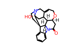 O=C1C[C@@H]2OCC=C3CN4CC[C@]56c7ccccc7N1[C@H]5[C@H]2[C@H]3C[C@]46O